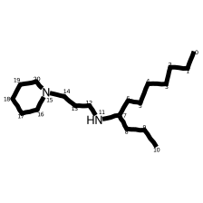 CCCCCCCC(CCC)NCCCN1CCCCC1